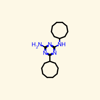 Nc1nc(NC2CCCCCCCC2)nc(C2CCCCCCCC2)n1